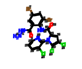 NNC(=O)c1cc(Br)cc(Br)c1NC(=O)c1cc(Cl)c(Cl)n1-c1ncccc1Cl